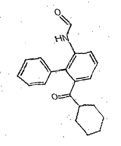 O=CNc1cccc(C(=O)C2CCCCC2)c1-c1ccccc1